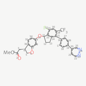 COC(=O)C[C@@H]1COc2cc(OC3CCc4c(-c5ccc(-c6ccnnc6)cc5)c(C(F)(F)F)cc(F)c43)ccc21